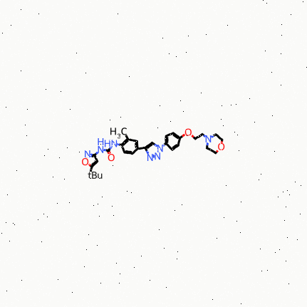 Cc1cc(-c2cn(-c3ccc(OCCN4CCOCC4)cc3)nn2)ccc1NC(=O)Nc1cc(C(C)(C)C)on1